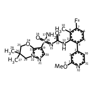 COc1cc(-c2ccc(F)c(C)c2NC(=O)N=S(N)(=O)c2cnn3c2OCC(C)(C)C3)ccn1